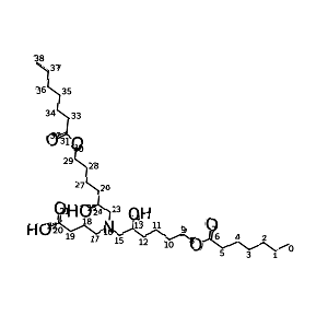 CCCCCCC(=O)OCCCCC(O)CN(CCCC(=O)O)CC(O)CCCCOC(=O)CCCCCC